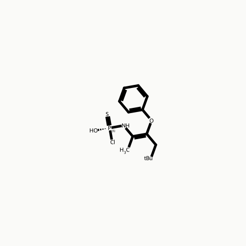 CC(N[P@](O)(=S)Cl)=C(CC(C)(C)C)Oc1ccccc1